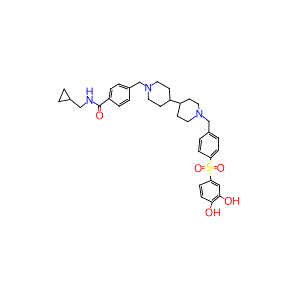 O=C(NCC1CC1)c1ccc(CN2CCC(C3CCN(Cc4ccc(S(=O)(=O)c5ccc(O)c(O)c5)cc4)CC3)CC2)cc1